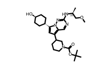 COC[C@H](C)Nc1ncc2c(C3CCCN(C(=O)OC(C)(C)C)C3)cc([C@H]3CC[C@H](O)CC3)n2n1